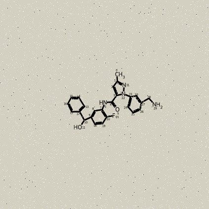 Cc1cc(C(=O)Nc2cc(C(O)c3ccccc3)ccc2F)n(-c2cccc(CN)c2)n1